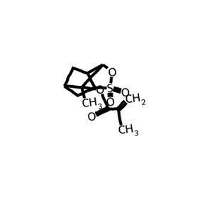 C=C(C)C(=O)OC1(C)C2CC3C1OS(=O)(=O)C3C2